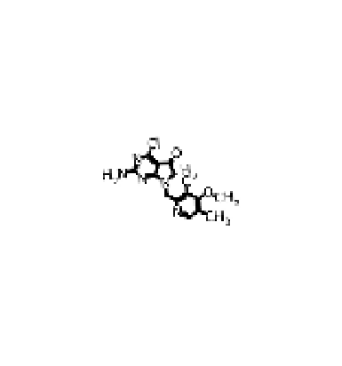 COc1c(C)cnc(CN2CC(=O)c3c(Cl)nc(N)nc32)c1C